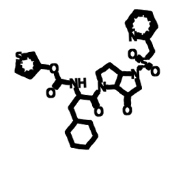 O=C(NC(CC1CCCCC1)C(=O)N1CCC2C1C(=O)CN2S(=O)(=O)Cc1ccccn1)Oc1ccsc1